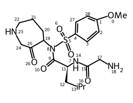 COc1ccc(S(=O)(=O)N(C(=O)[C@H](CC(C)C)NC(=O)CN)C2CCCNCC2=O)cc1